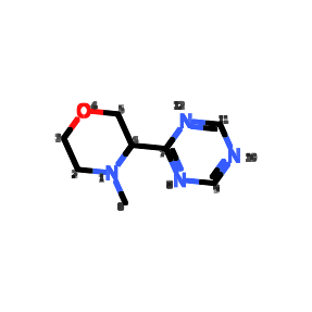 CN1CCOCC1c1ncncn1